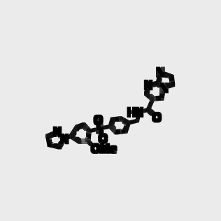 COc1cc(-n2cccn2)ccc1S(=O)(=O)c1ccc(CNC(=O)c2cnc3nccn3c2)cc1